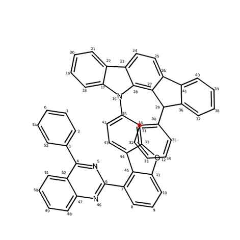 c1ccc(-c2nc(-c3cccc4oc5cc(-n6c7ccccc7c7ccc8c(c76)C(c6ccccc6)c6ccccc6-8)ccc5c34)nc3ccccc23)cc1